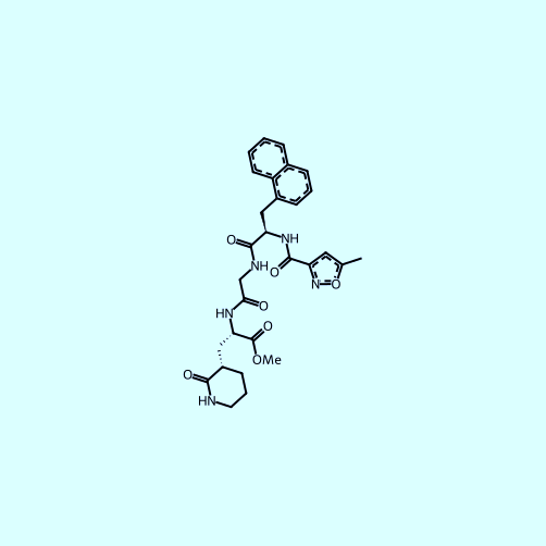 COC(=O)[C@H](C[C@@H]1CCCNC1=O)NC(=O)CNC(=O)[C@@H](Cc1cccc2ccccc12)NC(=O)c1cc(C)on1